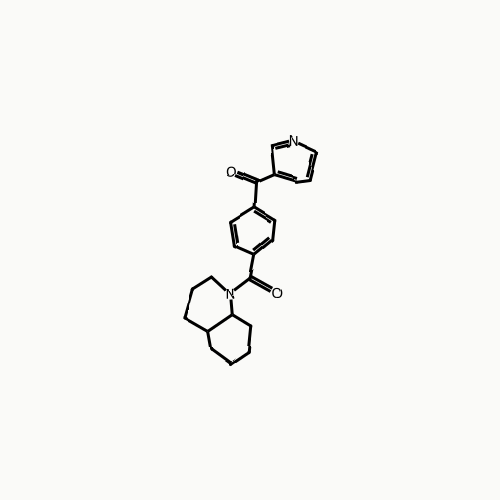 O=C(c1ccc(C(=O)N2CCCC3CCCCC32)cc1)c1cccnc1